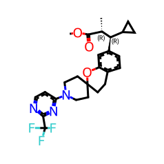 COC(=O)[C@H](C)[C@H](c1ccc2c(c1)OC1(CC2)CCN(c2ccnc(C(F)(F)F)n2)CC1)C1CC1